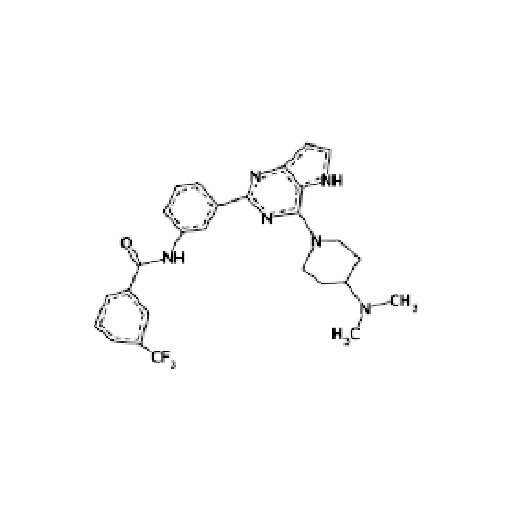 CN(C)C1CCN(c2nc(-c3cccc(NC(=O)c4cccc(C(F)(F)F)c4)c3)nc3cc[nH]c23)CC1